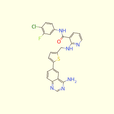 Nc1ncnc2ccc(-c3ccc(CNc4ncccc4C(=O)Nc4ccc(Cl)c(F)c4)s3)cc12